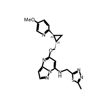 COc1ccc([C@H]2C[C@@H]2COc2cc(NCc3nnc(C)s3)n3nccc3n2)nc1